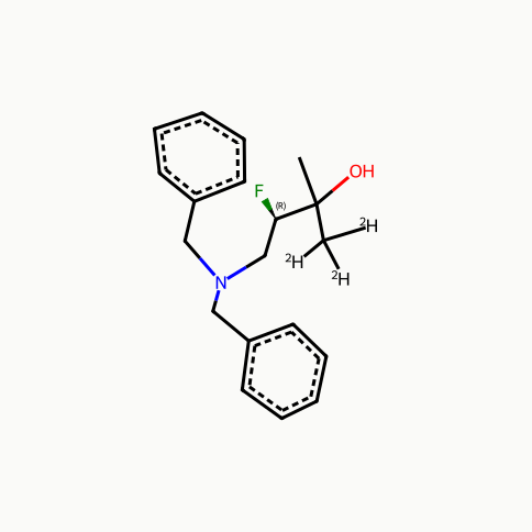 [2H]C([2H])([2H])C(C)(O)[C@H](F)CN(Cc1ccccc1)Cc1ccccc1